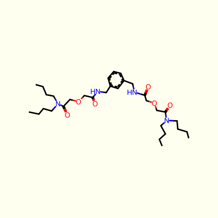 CCCCN(CCCC)C(=O)COCC(=O)NCc1cccc(CNC(=O)COCC(=O)N(CCCC)CCCC)c1